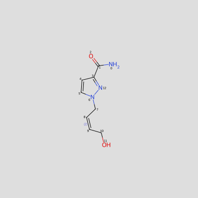 NC(=O)c1ccn(C/C=C\CO)n1